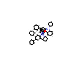 c1ccc(-c2cc([Si](c3ccccc3)(c3ccccc3)c3ccccc3)c3c(c2)c2ccccc2n3-c2cccc3c2c2ccccc2n3-c2ccccc2)cc1